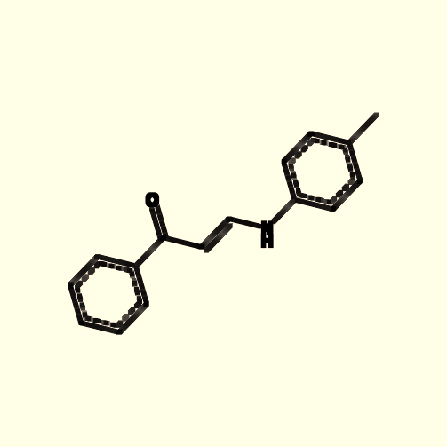 Cc1ccc(N/C=C/C(=O)c2ccccc2)cc1